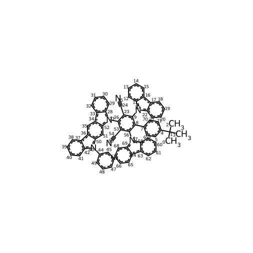 CC(C)(C)c1ccc(-c2c(-n3c4ccccc4c4ccccc43)c(C#N)c(-n3c4ccccc4c4cc5c6ccccc6n(-c6ccccc6)c5cc43)c(C#N)c2-n2c3ccccc3c3ccccc32)cc1